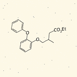 CCOC(=O)CC(C)COc1ccccc1Oc1ccccc1